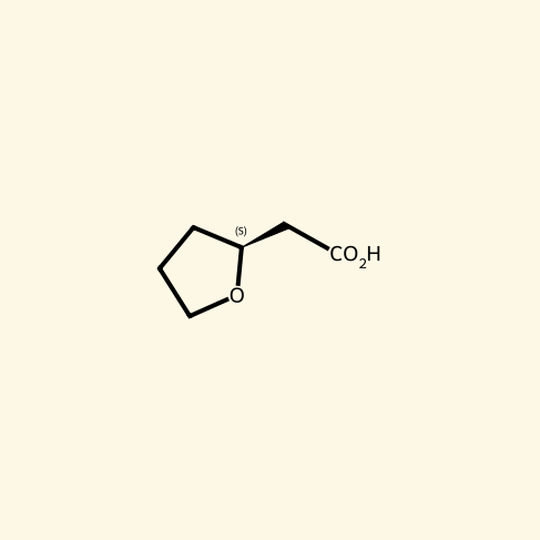 O=C(O)C[C@@H]1CCCO1